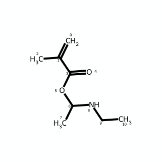 C=C(C)C(=O)OC(C)NCC